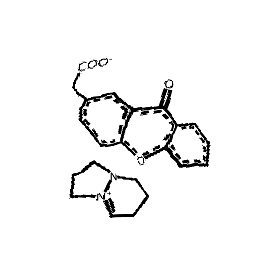 C1=[N+]2CCCN2CCC1.O=C([O-])Cc1ccc2oc3ccccc3c(=O)c2c1